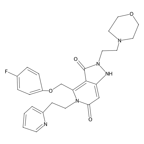 O=c1c2c(COc3ccc(F)cc3)n(CCc3ccccn3)c(=O)cc2[nH]n1CCN1CCOCC1